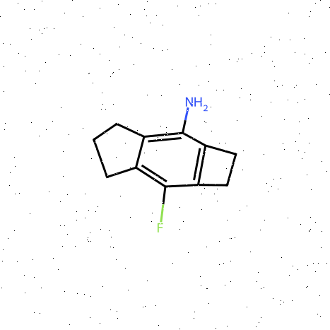 Nc1c2c(c(F)c3c1CC3)CCC2